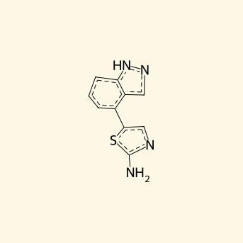 Nc1ncc(-c2cccc3[nH]ncc23)s1